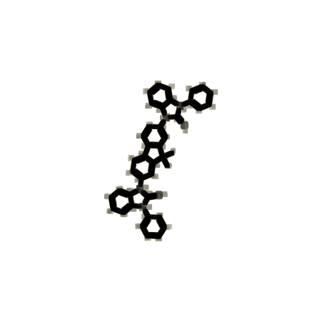 CC1(C)c2cc(-n3c(=O)n(-c4ccccc4)c4ccccc43)ccc2-c2ccc(-n3c(=O)n(-c4ccccc4)c4ccccc43)cc21